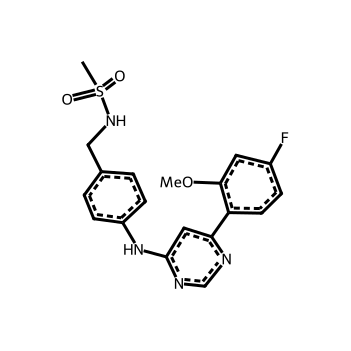 COc1cc(F)ccc1-c1cc(Nc2ccc(CNS(C)(=O)=O)cc2)ncn1